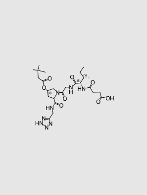 CC[C@H](C)[C@H](NC(=O)CCC(=O)O)C(=O)NCC(=O)N1C[C@H](OC(=O)CC(C)(C)C)CC1C(=O)NCc1nn[nH]n1